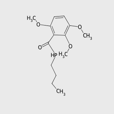 CCCCPC(=O)c1c(OC)ccc(OC)c1OC